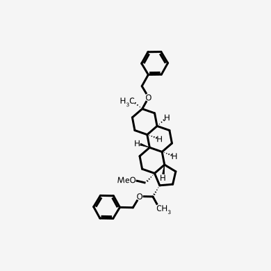 COC[C@]12CC[C@H]3[C@@H](CC[C@@H]4C[C@](C)(OCc5ccccc5)CC[C@@H]43)[C@@H]1CC[C@@H]2C(C)OCc1ccccc1